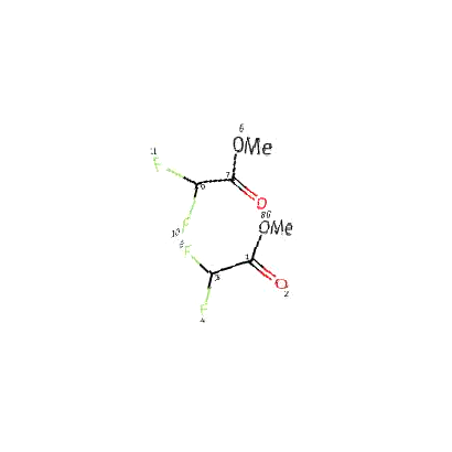 COC(=O)C(F)F.COC(=O)C(F)F